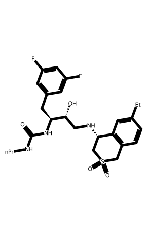 CCCNC(=O)N[C@@H](Cc1cc(F)cc(F)c1)[C@H](O)CN[C@H]1CS(=O)(=O)Cc2ccc(CC)cc21